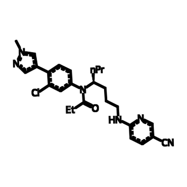 CCC[C@@H](CCCNc1ccc(C#N)cn1)N(C(=O)CC)c1ccc(-c2cnn(C)c2)c(Cl)c1